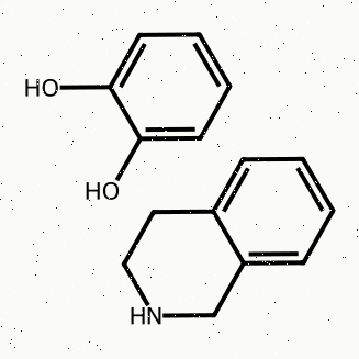 Oc1ccccc1O.c1ccc2c(c1)CCNC2